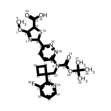 COC1=NC(c2ccc(N(CC3(c4ncccc4F)CCC3)C(=O)OC(C)(C)C)nn2)SC1C(=O)O